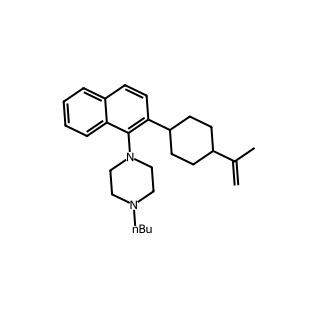 C=C(C)C1CCC(c2ccc3ccccc3c2N2CCN(CCCC)CC2)CC1